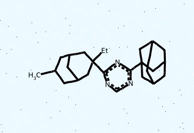 CCC1(c2ncnc(C34CC5CC(CC(C5)C3)C4)n2)CC2CC(C)CC(C2)C1